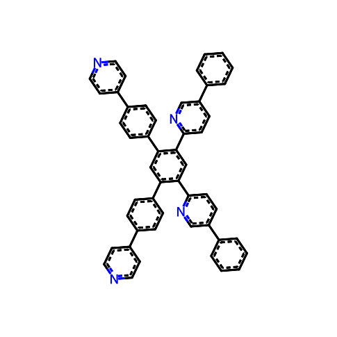 c1ccc(-c2ccc(-c3cc(-c4ccc(-c5ccccc5)cn4)c(-c4ccc(-c5ccncc5)cc4)cc3-c3ccc(-c4ccncc4)cc3)nc2)cc1